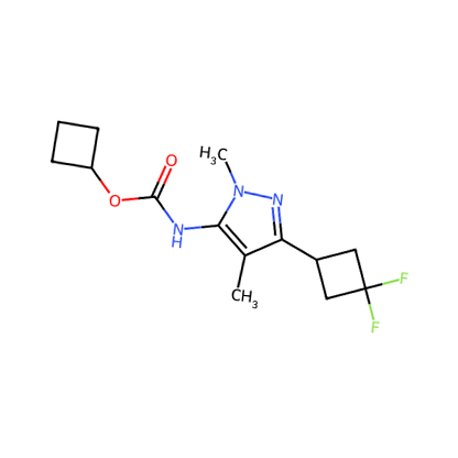 Cc1c(C2CC(F)(F)C2)nn(C)c1NC(=O)OC1CCC1